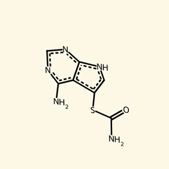 NC(=O)Sc1c[nH]c2ncnc(N)c12